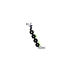 C/C=C/CCC1CC=C(c2ccc(-c3ccc(-c4ccc(CCCCCCCCCC)c(F)c4F)cc3)c(F)c2)CC1